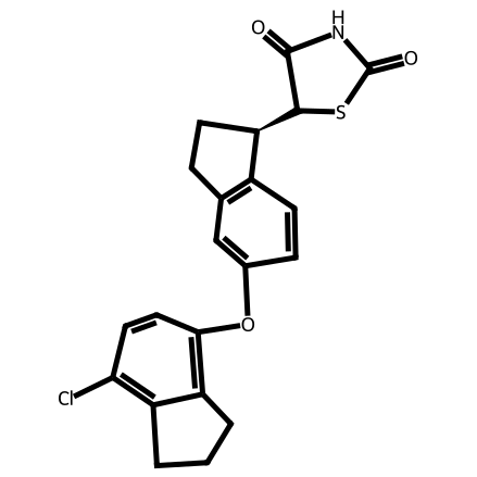 O=C1NC(=O)C([C@@H]2CCc3cc(Oc4ccc(Cl)c5c4CCC5)ccc32)S1